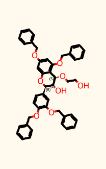 OCCO[C@H]1c2c(OCc3ccccc3)cc(OCc3ccccc3)cc2O[C@H](c2ccc(OCc3ccccc3)c(OCc3ccccc3)c2)[C@H]1O